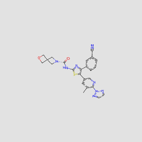 Cc1cc(-c2sc(NC(=O)N3CC4(COC4)C3)nc2-c2cccc(C#N)c2)cnc1-n1nccn1